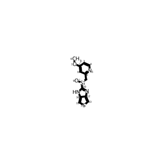 COc1ccnc(C[S+]([O-])c2nc3cscc3[nH]2)c1